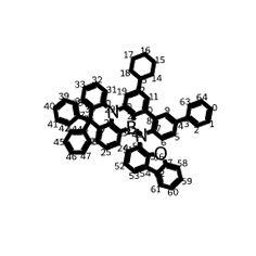 c1ccc(-c2ccc3c(c2)-c2cc(C4CCCCC4)cc4c2B(c2cccc5c2N4c2ccccc2C5(c2ccccc2)c2ccccc2)N3c2cccc3c2oc2ccccc23)cc1